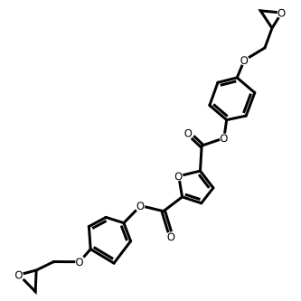 O=C(Oc1ccc(OCC2CO2)cc1)c1ccc(C(=O)Oc2ccc(OCC3CO3)cc2)o1